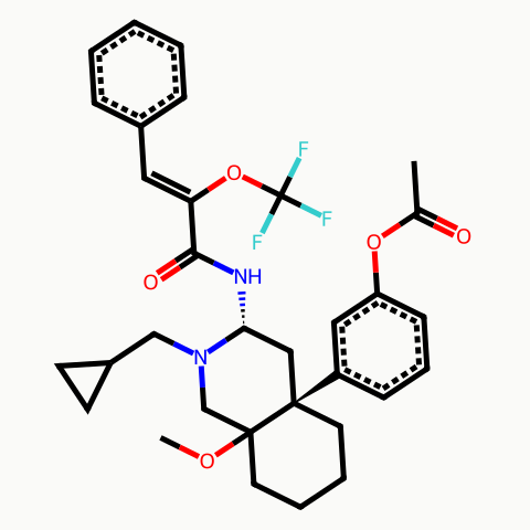 COC12CCCC[C@@]1(c1cccc(OC(C)=O)c1)C[C@@H](NC(=O)C(=Cc1ccccc1)OC(F)(F)F)N(CC1CC1)C2